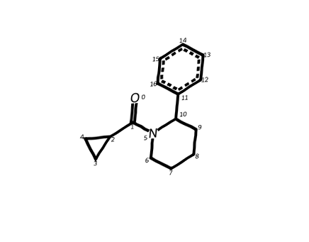 O=C(C1CC1)N1CCCCC1c1ccccc1